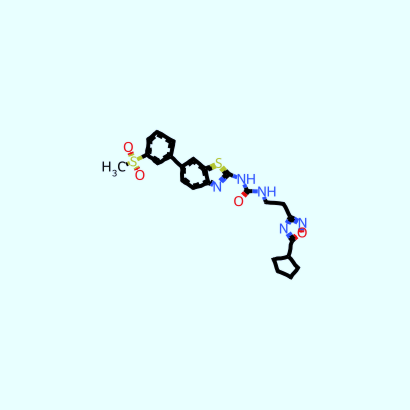 CS(=O)(=O)c1cccc(-c2ccc3nc(NC(=O)NCCc4noc(C5CCCC5)n4)sc3c2)c1